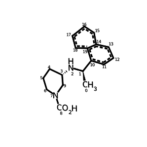 C[C@@H](N[C@H]1CCCN(C(=O)O)C1)c1cccc2ccccc12